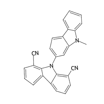 Cn1c2ccccc2c2ccc(-n3c4c(C#N)cccc4c4cccc(C#N)c43)cc21